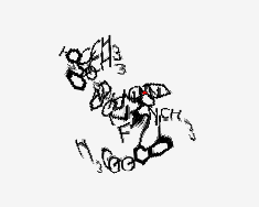 CCc1cccc2cc(OCOC)cc(-c3ncc4c(N5CC6CCC(C5)N6C(=O)O)nc(OC[C@]56CCCN5[C@H](CO[Si](c5ccccc5)(c5ccccc5)C(C)(C)C)CC6)nc4c3F)c12